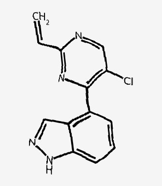 C=Cc1ncc(Cl)c(-c2cccc3[nH]ncc23)n1